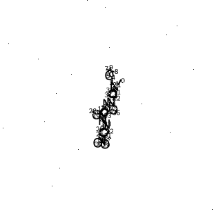 CCN(CCOC(C)(C)C)c1ccc(/N=N/c2cc(OC)c(/N=N/c3ccc([N+](=O)[O-])cc3)cc2OC)cc1